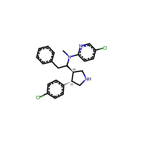 CN(c1ccc(Cl)cn1)C(Cc1ccccc1)[C@H]1CNC[C@@H]1c1ccc(Cl)cc1